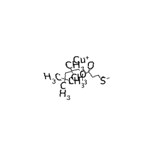 CC(C)(C)CC(C)(C)COC(=O)CC[S-].[Cu+]